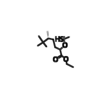 CCOC(=O)C(CC[C@@H](C)C(C)(C)C)O[SiH](C)C